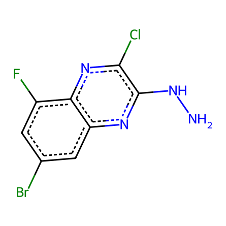 NNc1nc2cc(Br)cc(F)c2nc1Cl